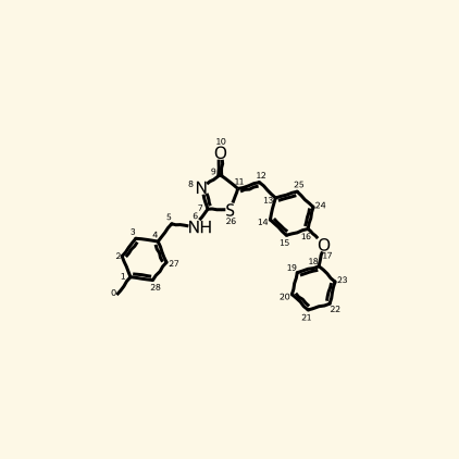 Cc1ccc(CNC2=NC(=O)C(=Cc3ccc(Oc4ccccc4)cc3)S2)cc1